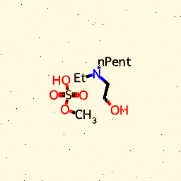 CCCCCN(CC)CCO.COS(=O)(=O)O